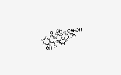 O=C1c2cccc(O)c2C(=O)c2c(O)c3c(c(O)c21)C[C@@](O)(C(=O)CO)CC3